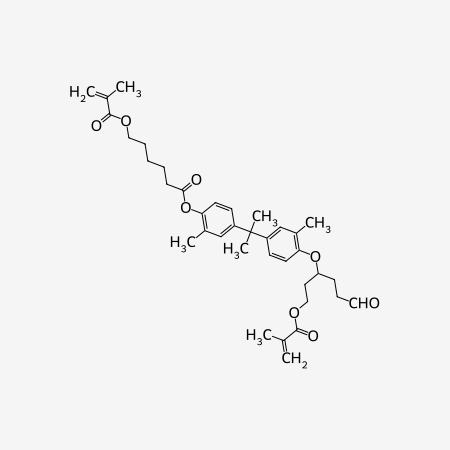 C=C(C)C(=O)OCCCCCC(=O)Oc1ccc(C(C)(C)c2ccc(OC(CCC=O)CCOC(=O)C(=C)C)c(C)c2)cc1C